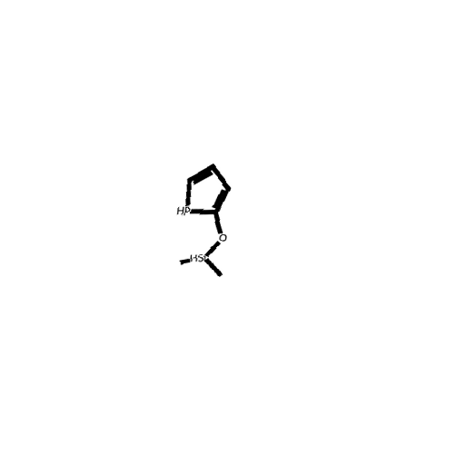 C[SiH](C)Oc1ccc[pH]1